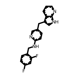 Fc1ccc(CNc2ccc(Cc3c[nH]c4ncccc34)cn2)c(F)c1